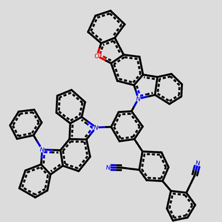 N#Cc1ccccc1-c1ccc(-c2cc(-n3c4ccccc4c4cc5c(cc43)oc3ccccc35)cc(-n3c4ccccc4c4c3ccc3c5ccccc5n(-c5ccccc5)c34)c2)c(C#N)c1